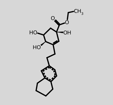 CCOC(=O)[C@]1(O)C=C(CCc2ccc3c(c2)CCCC3)[C@@H](O)C(O)C1